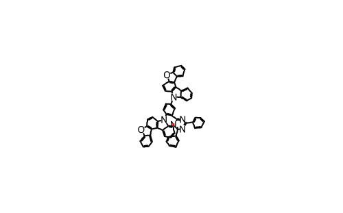 c1ccc(-c2nc(-c3ccccc3)nc(-c3cc(-n4c5ccccc5c5c6c(ccc54)oc4ccccc46)ccc3-n3c4ccccc4c4c5c(ccc43)oc3ccccc35)n2)cc1